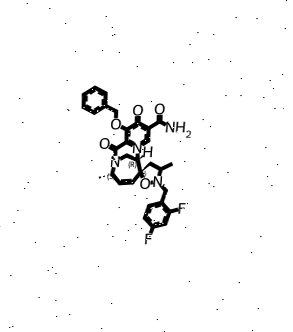 CC1C[C@]2(C=C[C@H](C)N3C[C@H]2n2cc(C(N)=O)c(=O)c(OCc4ccccc4)c2C3=O)ON1Cc1ccc(F)cc1F